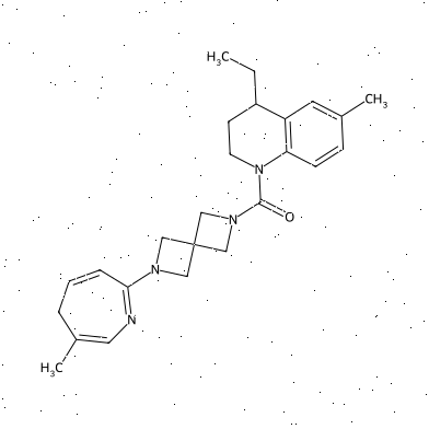 CCC1CCN(C(=O)N2CC3(C2)CN(C2=NC=C(C)CC=C2)C3)c2ccc(C)cc21